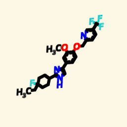 CCC1(F)CCC(c2nc(-c3ccc(OCc4ccc(C(F)(F)F)cn4)c(OC)c3)c[nH]2)CC1